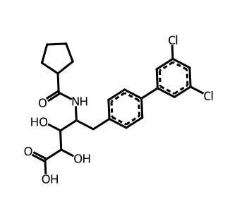 O=C(NC(Cc1ccc(-c2cc(Cl)cc(Cl)c2)cc1)C(O)C(O)C(=O)O)C1CCCC1